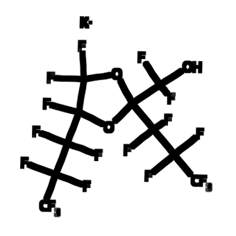 OC(F)(F)C1(C(F)(F)C(F)(F)C(F)(F)F)OC(F)(F)C(F)(C(F)(F)C(F)(F)C(F)(F)F)O1.[K]